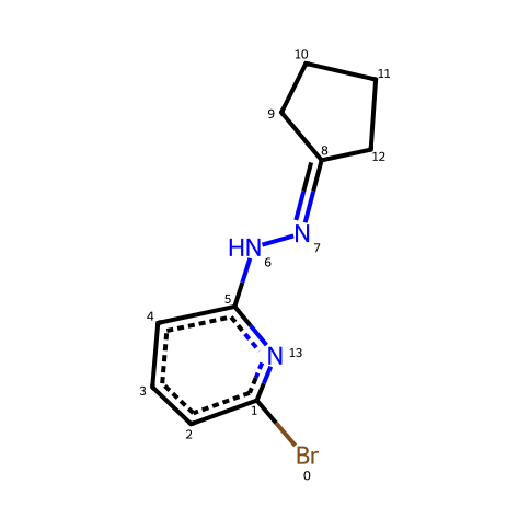 Brc1cccc(NN=C2CCCC2)n1